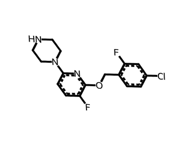 Fc1cc(Cl)ccc1COc1nc(N2CCNCC2)ccc1F